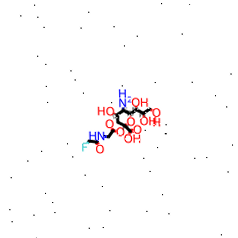 N[C@H]1[C@H]([C@H](O)[C@H](O)CO)O[C@](OC(=O)CNC(=O)CF)(C(=O)O)C[C@@H]1O